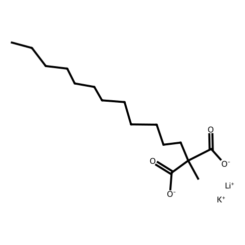 CCCCCCCCCCCCC(C)(C(=O)[O-])C(=O)[O-].[K+].[Li+]